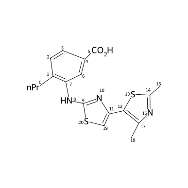 CCCc1ccc(C(=O)O)cc1Nc1nc(-c2sc(C)nc2C)cs1